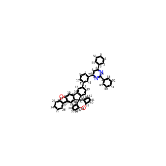 c1ccc(-c2cc(-c3cccc(-c4ccc5c(c4)-c4cc6oc7ccccc7c6cc4C54c5ccccc5Oc5ccccc54)c3)nc(-c3ccccc3)n2)cc1